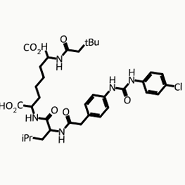 CC(C)CC(NC(=O)Cc1ccc(NC(=O)Nc2ccc(Cl)cc2)cc1)C(=O)NC(CCCCC(NC(=O)CC(C)(C)C)C(=O)O)C(=O)O